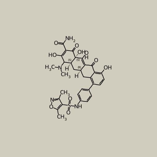 Cc1noc(C)c1S(=O)(=O)Nc1ccc(-c2ccc(O)c3c2C[C@H]2C[C@H]4C(N(C)C)C(O)=C(C(N)=O)C(=O)[C@@]4(O)C(O)=C2C3=O)cc1